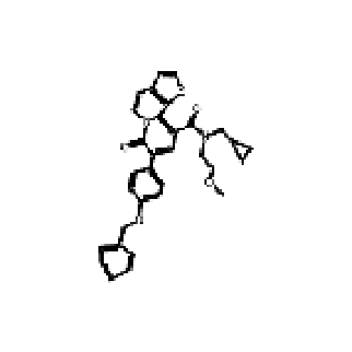 COCCN(CC1CC1)C(=O)c1cc(-c2ccc(OCc3ccccc3)cc2)c(=O)n2ccc3ccsc3c12